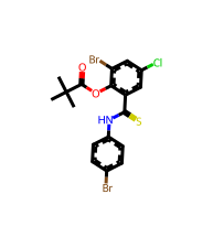 CC(C)(C)C(=O)Oc1c(Br)cc(Cl)cc1C(=S)Nc1ccc(Br)cc1